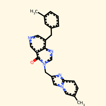 Cc1cccc(Cc2cncc3c(=O)n(Cc4cn5cc(C)ccc5n4)cnc23)c1